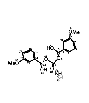 COc1cccc(B(O)OC(=O)OB(O)c2cccc(OC)c2)c1.[KH].[KH]